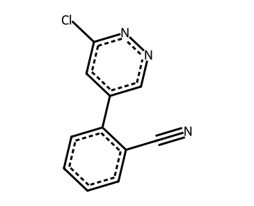 N#Cc1ccccc1-c1cnnc(Cl)c1